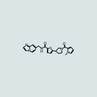 Cn1cccc1C(=O)N1CCC(c2ccc(C(=O)NCc3ccn4ccnc4c3)s2)C1